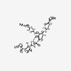 COC(=O)c1onc([C@@H]2CCN(C(=O)c3ccc(OCc4ccc(OC)cc4)c(OCc4ccc(OC)cc4)c3F)C2)c1C